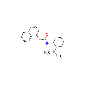 CN(C)C1CCCCC1NC(=O)Cc1cccc2ccccc12